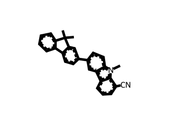 Cn1c2ccc(-c3ccc4c(c3)C(C)(C)c3ccccc3-4)cc2c2cccc(C#N)c21